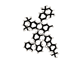 Cc1cc2c3c(c1)N(c1ccc4c(c1)C(C)(C)CCC4(C)C)c1cc4c(cc1B3c1ccc(N(c3ccccc3C)c3ccccc3C)cc1N2c1ccc2c(c1)oc1cc(C(C)(C)C)ccc12)C(C)(C)CCC4(C)C